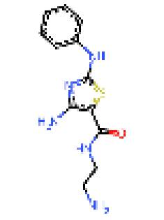 NCCNC(=O)c1sc(Nc2ccccc2)nc1N